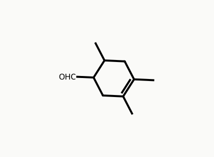 CC1=C(C)CC(C=O)C(C)C1